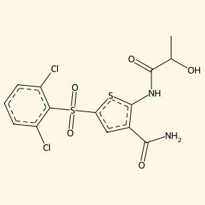 CC(O)C(=O)Nc1sc(S(=O)(=O)c2c(Cl)cccc2Cl)cc1C(N)=O